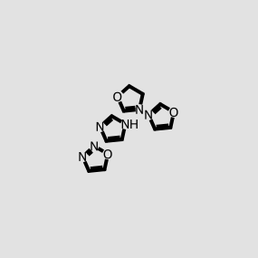 C1=NCCO1.c1c[nH]cn1.c1cocn1.c1conn1